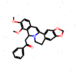 COc1ccc2c(c1OC)C(CC(=O)c1ccccc1)N1CCc3cc4c(cc3C1=C2)OCO4